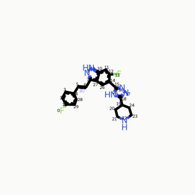 Fc1ccc(/C=C/c2n[nH]c3cc(F)c(-c4nnc(C5CCNCC5)[nH]4)cc23)cc1